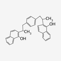 CC(Cc1ccc(CC(C)c2ccc3ccccc3c2O)cc1)c1ccc2ccccc2c1O